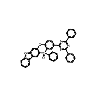 O=P1(c2ccccc2)c2cc(-c3nc(-c4ccccc4)nc(-c4ccccc4)n3)ccc2Oc2cc3oc4ccccc4c3cc21